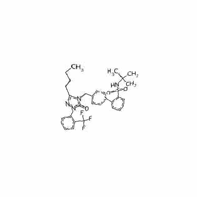 CCCCc1nn(-c2ccccc2C(F)(F)F)c(=O)n1Cc1ccc(-c2ccccc2S(=O)(=O)NC(C)(C)C)cc1